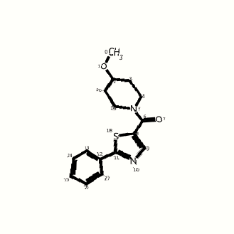 COC1CCN(C(=O)c2cnc(-c3ccccc3)s2)CC1